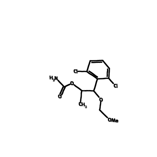 COCOC(c1c(Cl)cccc1Cl)C(C)OC(N)=O